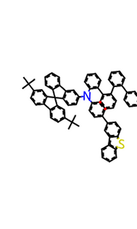 CC(C)(C)c1ccc2c(c1)C1(c3ccccc3-c3cc(N(c4ccc(-c5ccc6sc7ccccc7c6c5)cc4)c4ccccc4-c4ccccc4-c4ccccc4-c4ccccc4)ccc31)c1cc(C(C)(C)C)ccc1-2